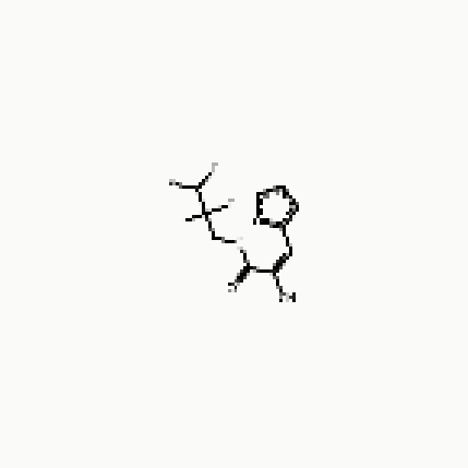 N#CC(=Cc1ccco1)C(=O)OCC(F)(F)C(F)F